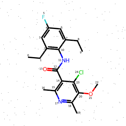 CCc1cc(F)cc(CC)c1NC(=O)c1c(C)nc(C)c(OC)c1Cl